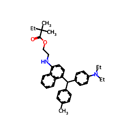 CCN(CC)c1ccc(C(c2ccc(C)cc2)c2ccc(NCCOC(=O)C(C)(C)CC)c3ccccc23)cc1